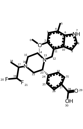 COc1cc(C)c2[nH]ccc2c1CN1CCN(C(C)C(F)F)C[C@H]1c1ccc(C(=O)O)cc1